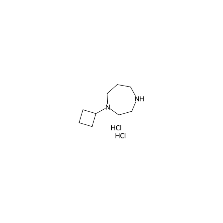 C1CC(N2CCCNCC2)C1.Cl.Cl